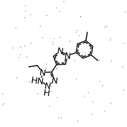 CCN1NNN=C1c1cnn(-c2cc(C)cc(C)c2)c1